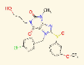 Cn1c(=O)n(CCCO)c(=O)c2c1nc([S+]([O-])c1cccc(OC(F)(F)F)c1)n2Cc1ccc(Cl)cc1